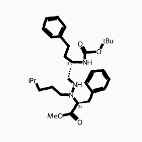 COC(=O)[C@H](Cc1ccccc1)N(CCCC(C)C)NC[C@H](CCc1ccccc1)NC(=O)OC(C)(C)C